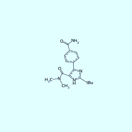 CN(C)C(=O)c1[nH]c(C(C)(C)C)nc1-c1ccc(C(N)=O)cc1